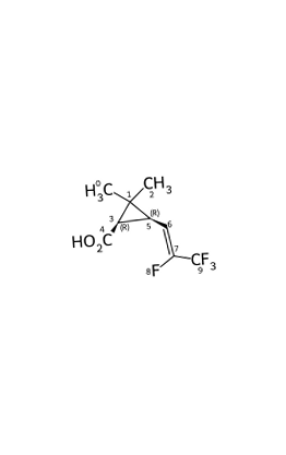 CC1(C)[C@H](C(=O)O)[C@@H]1C=C(F)C(F)(F)F